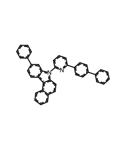 c1ccc(-c2ccc(-c3cccc(-n4c5cc(-c6ccccc6)ccc5c5c6ccccc6ccc54)n3)cc2)cc1